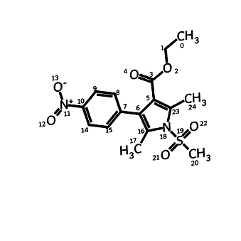 CCOC(=O)c1c(-c2ccc([N+](=O)[O-])cc2)c(C)n(S(C)(=O)=O)c1C